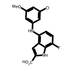 COc1cc(Cl)cc(Nc2ccc(F)c3[nH]c(C(=O)O)cc23)c1